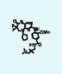 COc1cc(C(=O)NCC(C)(C)CN(C)C)ccc1Nc1ncc2c(n1)N(C1CCCC1)CC(F)(F)C(=O)N2C